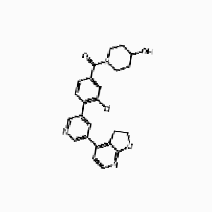 O=C(c1ccc(-c2cncc(-c3ccnc4c3CCO4)c2)c(Cl)c1)N1CCC(O)CC1